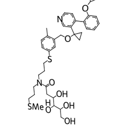 CSCCCN(CCCSc1ccc(C)c(COC2(c3cnccc3-c3ccccc3OC3CC3)CC2)c1)C(=O)CC(O)C(O)C(O)CO